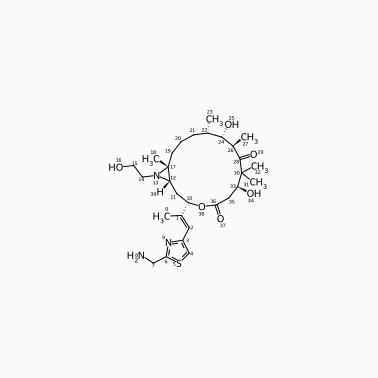 C/C(=C\c1csc(CN)n1)[C@@H]1C[C@@H]2N(CCO)[C@]2(C)CCC[C@H](C)[C@H](O)[C@@H](C)C(=O)C(C)(C)[C@@H](O)CC(=O)O1